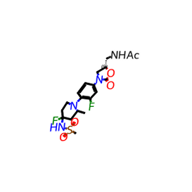 CC(=O)NC[C@H]1CN(c2ccc(N3CCC(F)(NS(C)(=O)=O)CC3C)c(F)c2)C(=O)O1